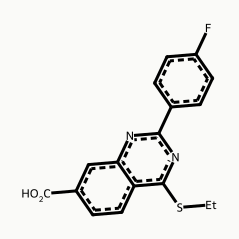 CCSc1nc(-c2ccc(F)cc2)nc2cc(C(=O)O)ccc12